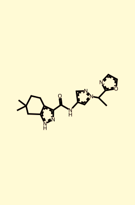 CC(c1ncco1)n1cc(NC(=O)c2n[nH]c3c2CCC(C)(C)C3)cn1